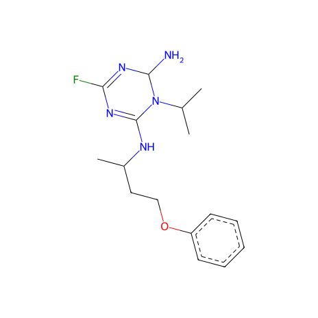 CC(CCOc1ccccc1)NC1=NC(F)=NC(N)N1C(C)C